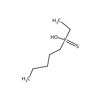 CCCCCP(O)(=S)CC